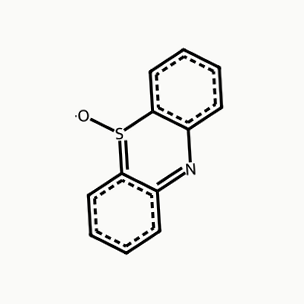 [O]S1=c2ccccc2=Nc2ccccc21